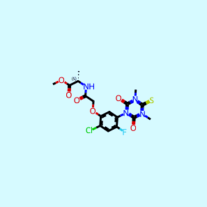 COC(=O)[C@H](C)NC(=O)COc1cc(-n2c(=O)n(C)c(=S)n(C)c2=O)c(F)cc1Cl